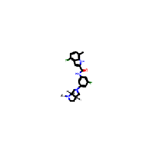 CC(=O)N1CC[C@H]2CN(c3cc(F)cc(NC(=O)c4cc5c(F)ccc(C)c5[nH]4)c3)C[C@H]21